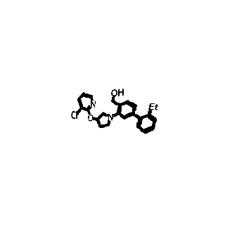 CCc1ccccc1-c1ccc(CO)c(N2CCC(Oc3ncccc3Cl)C2)c1